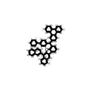 c1ccc(-c2ccc(C(c3ccc4c5ccccc5c5ccccc5c4c3)c3cccc4c3oc3c(-c5ccc6ccccc6c5)c5ccccc5cc34)cc2)cc1